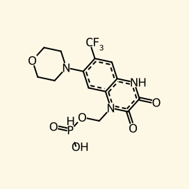 O=c1[nH]c2cc(C(F)(F)F)c(N3CCOCC3)cc2n(CO[PH](=O)O)c1=O